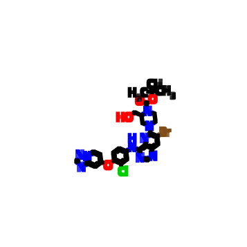 CC(C)(C)OC(=O)N1CCN(c2nc3c(Nc4ccc(Oc5ccn6ncnc6c5)c(Cl)c4)ncnc3cc2Br)C[C@H]1CO